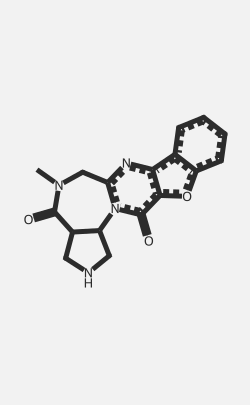 CN1Cc2nc3c(oc4ccccc43)c(=O)n2C2CNCC2C1=O